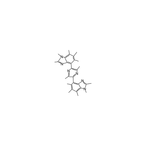 Cc1nc(-c2c(C)c(C)c(C)c3c2nc(C)n3C)c(C)nc1-c1c(C)c(C)c(C)c2c1nc(C)n2C